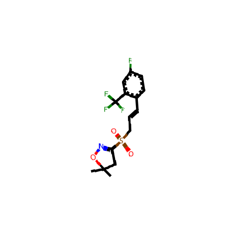 CC1(C)CC(S(=O)(=O)C/C=C/c2ccc(F)cc2C(F)(F)F)=NO1